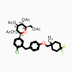 CC(=O)OC[C@H]1O[C@@H](c2ccc(Cl)c(Cc3ccc(OCC4(C)CCC(F)(F)CC4)cc3)c2)[C@H](OC(C)=O)[C@@H](OC(C)=O)[C@@H]1OC(C)=O